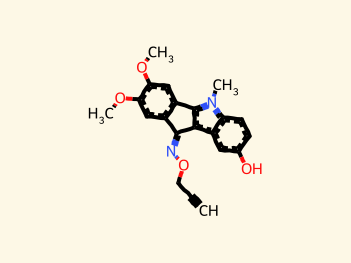 C#CCON=C1c2cc(OC)c(OC)cc2-c2c1c1cc(O)ccc1n2C